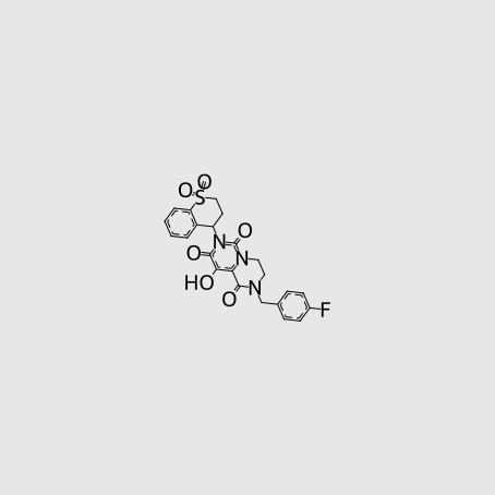 O=C1c2c(O)c(=O)n(C3CCS(=O)(=O)c4ccccc43)c(=O)n2CCN1Cc1ccc(F)cc1